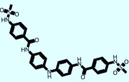 CS(=O)(=O)Nc1ccc(C(=O)Nc2ccc(Nc3ccc(NC(=O)c4ccc(NS(C)(=O)=O)cc4)cc3)cc2)cc1